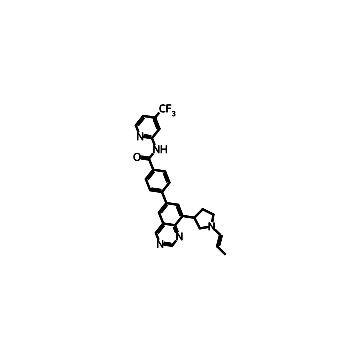 CC=CN1CCC(c2cc(-c3ccc(C(=O)Nc4cc(C(F)(F)F)ccn4)cc3)cc3cncnc23)C1